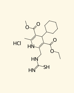 CCOC(=O)C1=C(CNC(=N)S)NC(C)=C(C(=O)OC)C1C1CCCCC1.Cl